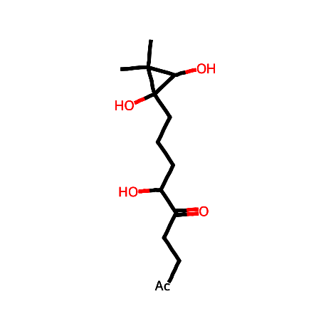 CC(=O)CCC(=O)C(O)CCCC1(O)C(O)C1(C)C